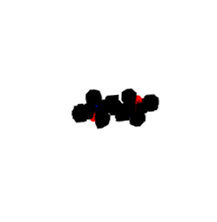 CC1(C)c2ccc(N(c3ccccc3)c3cc4c(c5c3oc3ccccc35)-c3cc5c(cc3[Si]4(C)C)-c3c(cc(N(c4ccccc4)c4ccc6c(c4)C(C)(C)C(C)(C)C6(C)C)c4oc6ccccc6c34)[Si]5(C)C)cc2C(C)(C)C1(C)C